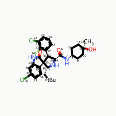 CC(C)(C)C[C@H]1N[C@@H](C(=O)N[C@H]2CC[C@](C)(O)CC2)[C@H](c2cccc(Cl)c2F)[C@@]12C(=O)Nc1cc(Cl)ccc12